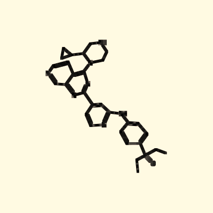 CCP(=O)(CC)c1ccc(Nc2cc(-c3nc(N4CCNCC4C4CC4)c4ccncc4n3)ccn2)cc1